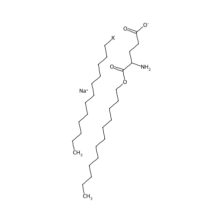 CCCCCCCCCCCCOC(=O)C(N)CCC(=O)[O-].CCCCCCCCCCC[CH2][K].[Na+]